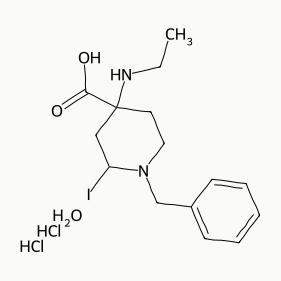 CCNC1(C(=O)O)CCN(Cc2ccccc2)C(I)C1.Cl.Cl.O